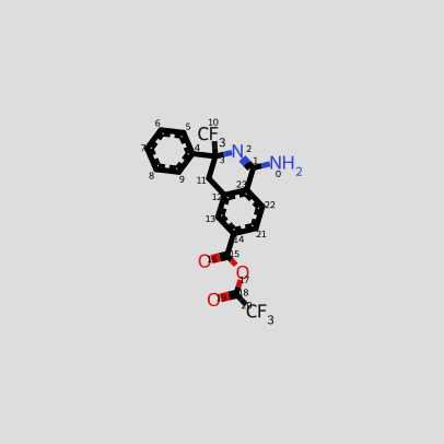 NC1=NC(c2ccccc2)(C(F)(F)F)Cc2cc(C(=O)OC(=O)C(F)(F)F)ccc21